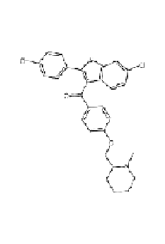 CN1CCCCC1COc1ccc(C(=O)c2c(-c3ccc(Cl)cc3)sc3cc(Cl)ccc23)cc1